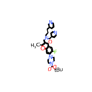 Cc1oc2cc(N3CCN(C(=O)OC(C)(C)C)CC3)c(F)cc2c(=O)c1CN(CCCc1cccnc1)Cc1ccncc1